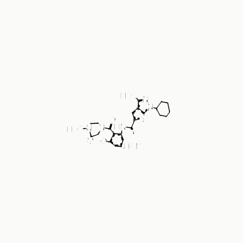 COc1cccc(NC(=O)c2cc3c(C)nn(C4CCCCC4)c3s2)c1C(=O)N1CCN(C)CC1.Cl